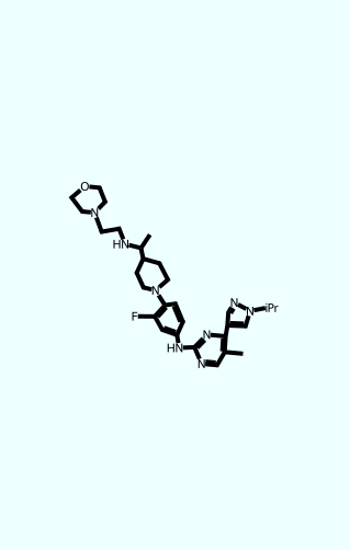 Cc1cnc(Nc2ccc(N3CCC(C(C)NCCN4CCOCC4)CC3)c(F)c2)nc1-c1cnn(C(C)C)c1